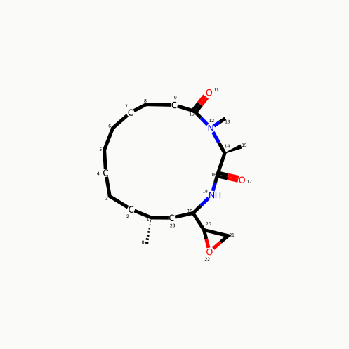 C[C@@H]1CCCCCCCCC(=O)N(C)[C@@H](C)C(=O)NC(C2CO2)C1